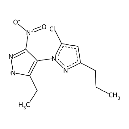 CCCc1cc(Cl)n(C2=C(CC)[N]N=C2[N+](=O)[O-])n1